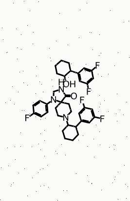 O=C1NCN(c2ccc(F)cc2)C12CCN(C1CCCCC1c1cc(F)cc(F)c1)CC2.OC1CCCCC1c1cc(F)cc(F)c1